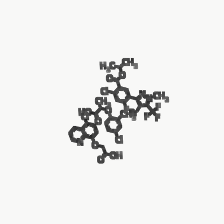 CC(C)OC(=O)c1cc(-c2nn(C)c(C(F)(F)F)c2Br)c(F)cc1Cl.Cc1cc(Cl)ccc1OC(C)C(=O)O.O=C(O)COc1ccc(Cl)c2cccnc12